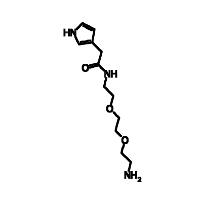 NCCOCCOCCNC(=O)Cc1cc[nH]c1